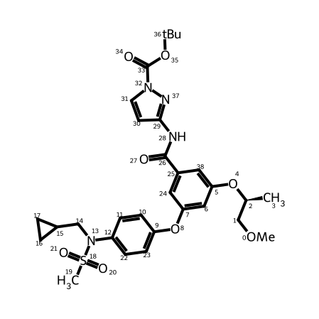 COC[C@H](C)Oc1cc(Oc2ccc(N(CC3CC3)S(C)(=O)=O)cc2)cc(C(=O)Nc2ccn(C(=O)OC(C)(C)C)n2)c1